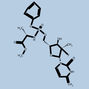 C=C1C=CN([C@@H]2O[C@H](COP(=O)(N[C@@H](C)C(=O)OC)Oc3ccccc3)[C@@H](O)[C@@]2(C)F)C(=O)N1